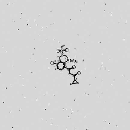 CSc1c(C(=O)CC(=O)C2CC2)ccc(Cl)c1CN(C)S(C)(=O)=O